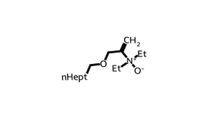 C=C(COCCCCCCCC)[N+]([O-])(CC)CC